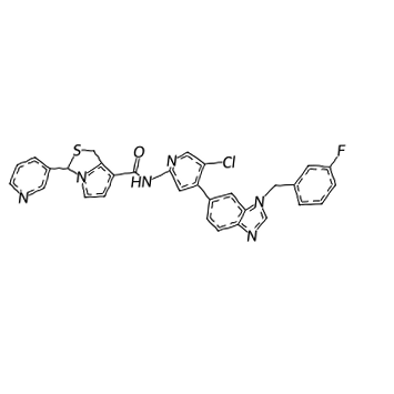 O=C(Nc1cc(-c2ccc3ncn(Cc4cccc(F)c4)c3c2)c(Cl)cn1)c1ccn2c1CSC2c1cccnc1